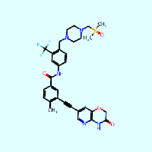 Cc1ccc(C(=O)Nc2ccc(CN3CCN(CP(C)(C)=O)CC3)c(C(F)(F)F)c2)cc1C#Cc1cnc2c(c1)OCC(=O)N2